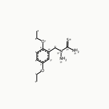 CCOc1ccc(OCC)c(CN(N)C(N)=S)c1